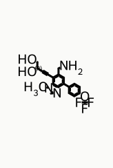 Cn1cnc2c(-c3ccc(OC(F)(F)F)cc3)cc(CN)c(C#C[C@@H](O)CO)c21